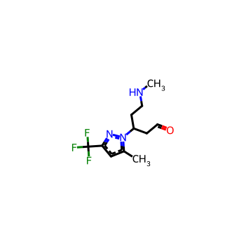 CNCCC(CC=O)n1nc(C(F)(F)F)cc1C